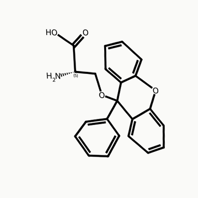 N[C@@H](COC1(c2ccccc2)c2ccccc2Oc2ccccc21)C(=O)O